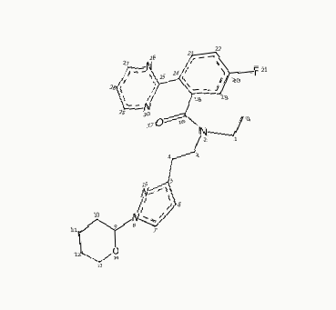 CCN(CCc1ccn(C2CCCCO2)n1)C(=O)c1cc(F)ccc1-c1ncccn1